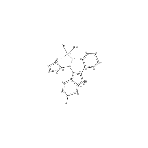 Cc1ccc2c([C@@H](CC(F)(F)F)c3ccco3)c(-c3ccccc3)[nH]c2c1